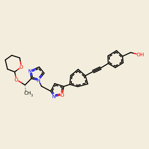 C[C@H](OC1CCCCO1)c1nccn1Cc1cc(-c2ccc(C#Cc3ccc(CO)cc3)cc2)on1